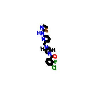 O=C(c1cccc(Cl)c1F)N1C[C@H]2C[C@@H]1CN2Cc1cccc(Nc2nccs2)n1